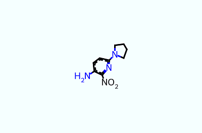 Nc1ccc(N2CCCC2)nc1[N+](=O)[O-]